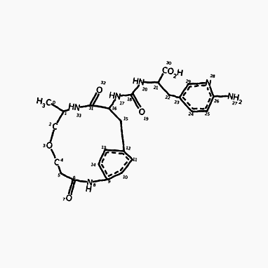 CC1COCCC(=O)Nc2ccc(cc2)CC(NC(=O)NC(Cc2ccc(N)nc2)C(=O)O)C(=O)N1